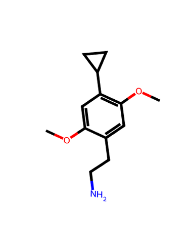 COc1cc(C2CC2)c(OC)cc1CCN